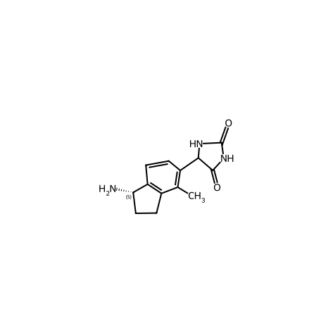 Cc1c(C2NC(=O)NC2=O)ccc2c1CC[C@@H]2N